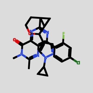 Cc1nc2c(-c3ccc(Cl)cc3F)nc(C34CCOC(c5cnn(C6CC6)c5)C3C4)nc2c(=O)n1C